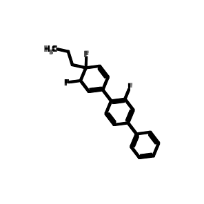 CCCC1(F)C=CC(c2ccc(-c3ccccc3)cc2F)=CC1F